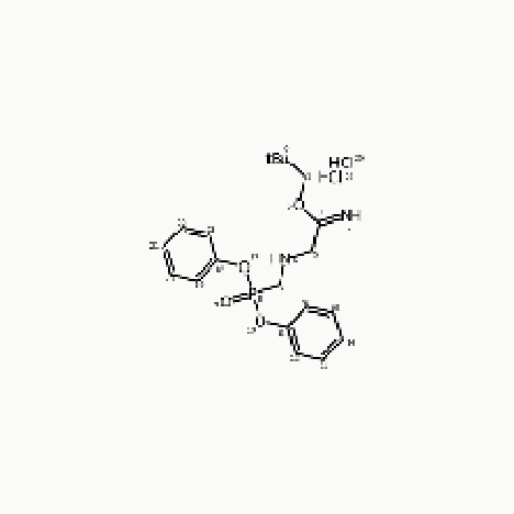 CC(C)(C)COC(=N)CNCP(=O)(Oc1ccccc1)Oc1ccccc1.Cl.Cl